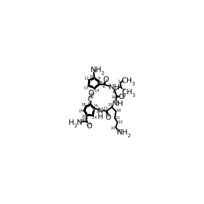 CCC(C)[C@@H]1NC(=O)c2cc(N)ccc2OCc2ccc(C(N)=O)cc2NC(=O)C(CCCCN)NC1=O